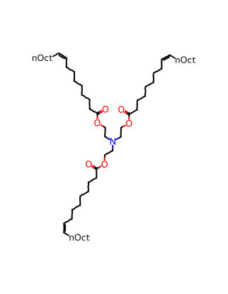 CCCCCCCC/C=C\CCCCCCCC(=O)OCCN(CCOC(=O)CCCCCCC/C=C\CCCCCCCC)CCOC(=O)CCCCCCC/C=C\CCCCCCCC